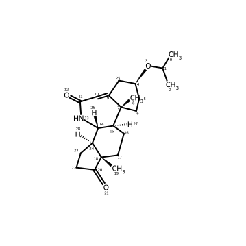 CC(C)O[C@H]1CC[C@@]2(C)C(=CC(=O)N[C@@H]3[C@@H]2CC[C@]2(C)C(=O)CC[C@@H]32)C1